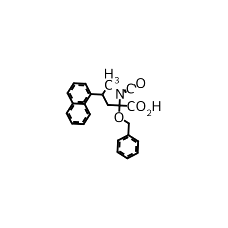 CC(CC(N=C=O)(OCc1ccccc1)C(=O)O)c1cccc2ccccc12